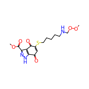 COOCNCCCCCSC1=CC(=O)c2[nH]nc(C(=O)OC)c2C1=O